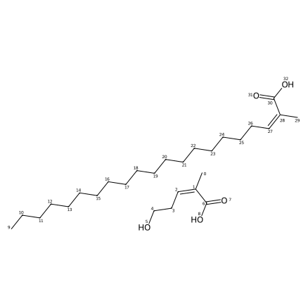 CC(=CCCO)C(=O)O.CCCCCCCCCCCCCCCCCCC=C(C)C(=O)O